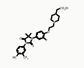 CCOC(=O)CC1CCN(CCOc2ccc(N3C(=S)N(c4ccc(C#N)c(C(F)(F)F)c4)C(=O)C3(C)C)cc2F)CC1